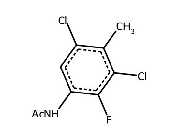 CC(=O)Nc1cc(Cl)c(C)c(Cl)c1F